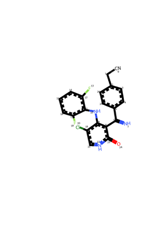 N#CCc1ccc(C(=N)c2c(Nc3c(F)cccc3F)c(Cl)c[nH]c2=O)cc1